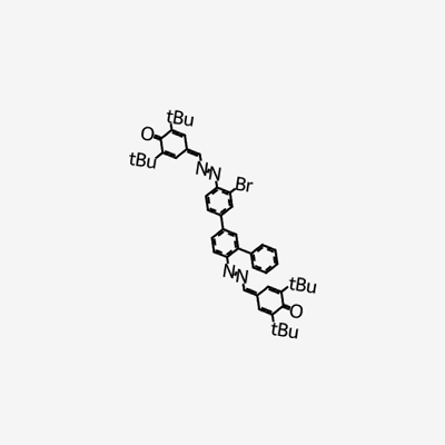 CC(C)(C)C1=CC(=C/N=N/c2ccc(-c3ccc(/N=N/C=C4C=C(C(C)(C)C)C(=O)C(C(C)(C)C)=C4)c(-c4ccccc4)c3)cc2Br)C=C(C(C)(C)C)C1=O